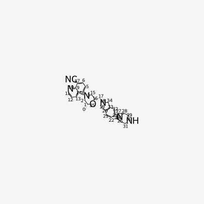 C[C@@H]1CN(c2ccc(C#N)c3ncccc23)C[C@H](CN2Cc3ccc(N4C5CCC4CNC5)cc3C2)O1